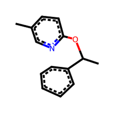 Cc1ccc(OC(C)c2ccccc2)nc1